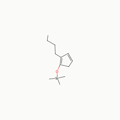 CCCCC1=C(O[Si](C)(C)C)CC=C1